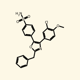 COc1ccc(-c2nc(Cc3ccccc3)oc2-c2ccc(S(N)(=O)=O)cc2)cc1Cl